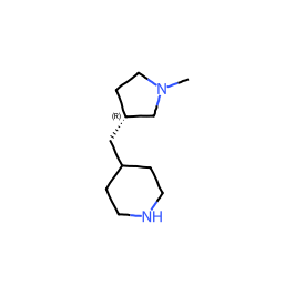 CN1CC[C@@H](CC2CCNCC2)C1